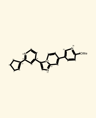 COc1ccc(-c2ccn3c(-c4ccnc(C5=CCCC5)c4)cnc3c2)cn1